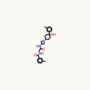 Cc1cccc(C(=O)NCC(=O)NC2CN(C3CCC(O)(c4cccc(C)c4)CC3)C2)c1